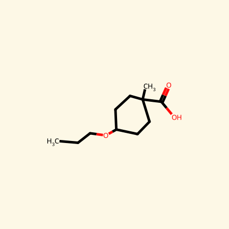 CCCOC1CCC(C)(C(=O)O)CC1